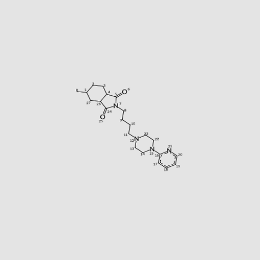 CC1CCC2C(=O)N(CCCCN3CCN(c4ccccn4)CC3)C(=O)C2C1